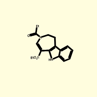 CCOC(=O)C1=CN(C(=O)CC)CCc2c1[nH]c1ccccc21